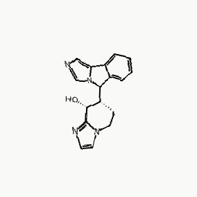 O[C@H]1c2nccn2CC[C@H]1[C@@H]1c2ccccc2-c2cncn21